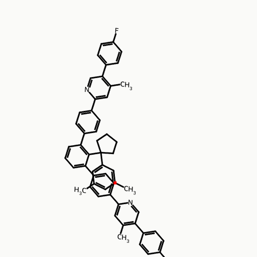 Cc1cc(C)cc(C2(c3c(-c4ccc(-c5cc(C)c(-c6ccc(F)cc6)cn5)cc4)cccc3-c3ccc(-c4cc(C)c(-c5ccc(F)cc5)cn4)cc3)CCCC2)c1